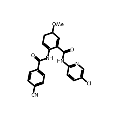 COC1C=C(C(=O)Nc2ccc(Cl)cn2)C(NC(=O)c2ccc(C#N)cc2)=CC1